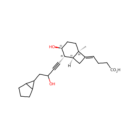 C[C@@]12CC[C@H](O)[C@@H](C#CC(O)CC3C4CCCC43)[C@@H]1CC2=CCCC(=O)O